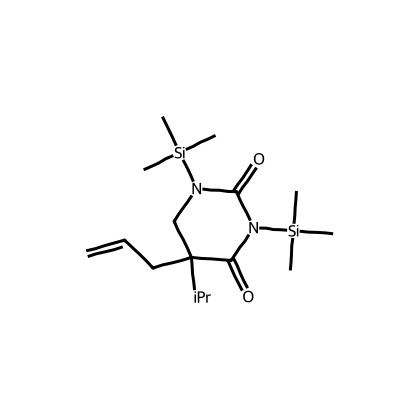 C=CCC1(C(C)C)CN([Si](C)(C)C)C(=O)N([Si](C)(C)C)C1=O